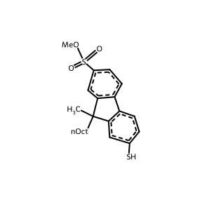 CCCCCCCCC1(C)c2cc(S)ccc2-c2ccc(S(=O)(=O)OC)cc21